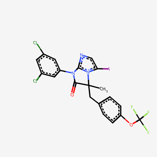 CC1(Cc2ccc(OC(F)(F)F)cc2)C(=O)N(c2cc(Cl)cc(Cl)c2)c2ncc(I)n21